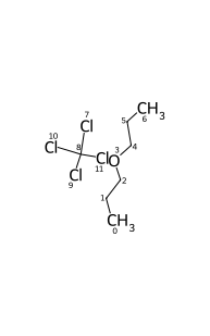 CCCOCCC.ClC(Cl)(Cl)Cl